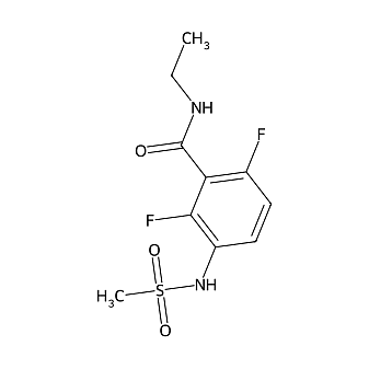 CCNC(=O)c1c(F)ccc(NS(C)(=O)=O)c1F